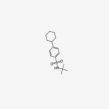 CC(C)(C)NS(=O)(=O)c1ccc(C2CCCCC2)cc1